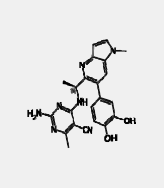 Cc1nc(N)nc(N[C@@H](C)c2nc3ccn(C)c3cc2-c2ccc(O)c(O)c2)c1C#N